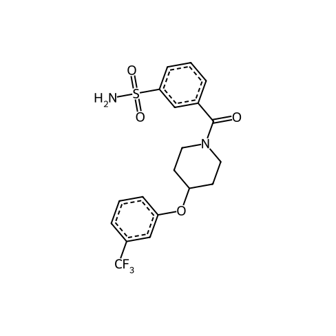 NS(=O)(=O)c1cccc(C(=O)N2CCC(Oc3cccc(C(F)(F)F)c3)CC2)c1